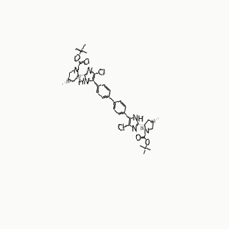 C[C@H]1C[C@@H](c2nc(Cl)c(-c3ccc(-c4ccc(-c5[nH]c([C@@H]6C[C@H](C)CN6C(=O)OC(C)(C)C)nc5Cl)cc4)cc3)[nH]2)N(C(=O)OC(C)(C)C)C1